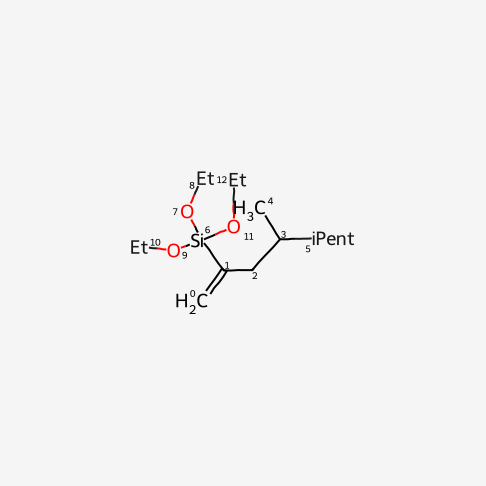 C=C(CC(C)C(C)CCC)[Si](OCC)(OCC)OCC